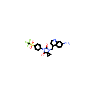 Nc1ccc2c(CN3C(=O)N(c4ccc(S(=O)(=O)C(F)(F)F)cc4)C(=O)C34CC4)ccnc2c1